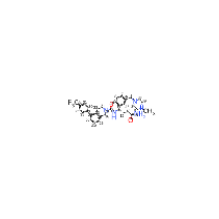 CN1CCN(Cc2cccc([C@H](CCC(N)=O)NC(=O)N3CCc4c(cccc4-c4ccc(C(F)(F)F)cc4)C3)c2)CC1